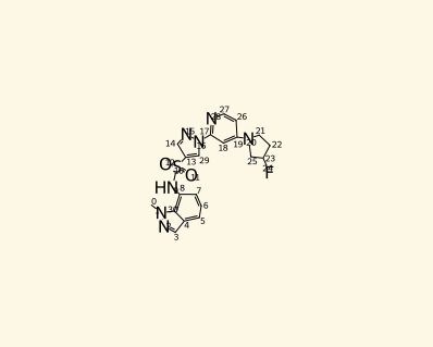 Cn1ncc2cccc(NS(=O)(=O)c3cnn(-c4cc(N5CCC(F)C5)ccn4)c3)c21